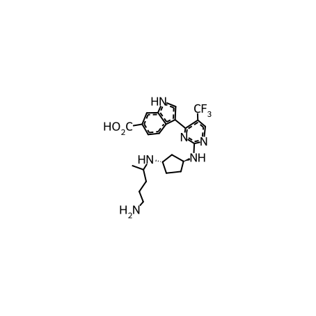 CC(CCCN)N[C@H]1CC[C@H](Nc2ncc(C(F)(F)F)c(-c3c[nH]c4cc(C(=O)O)ccc34)n2)C1